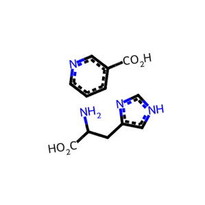 NC(Cc1c[nH]cn1)C(=O)O.O=C(O)c1cccnc1